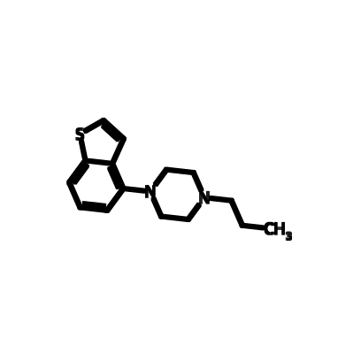 CCCN1CCN(c2cccc3sccc23)CC1